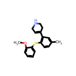 COc1ccccc1Sc1ccc(C)cc1C1=CCNCC1